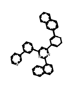 C1=C(c2ccc3ccccc3c2)CCC=C1c1cc(-c2cccc(-c3cccnc3)c2)nc(-c2cccc3ccccc23)n1